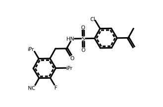 C=C(C)c1ccc(S(=O)(=O)NC(=O)Cc2c(C(C)C)cc(C#N)c(F)c2C(C)C)c(Cl)c1